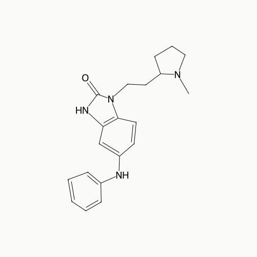 CN1CCCC1CCn1c(=O)[nH]c2cc(Nc3ccccc3)ccc21